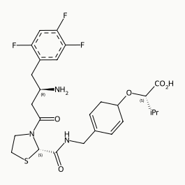 CC(C)[C@H](OC1C=CC(CNC(=O)[C@@H]2SCCN2C(=O)C[C@H](N)Cc2cc(F)c(F)cc2F)=CC1)C(=O)O